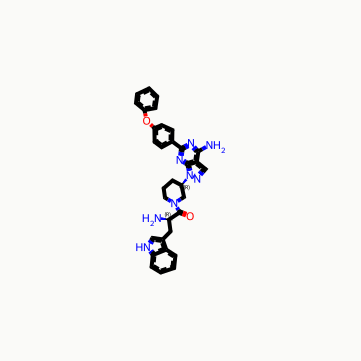 Nc1nc(-c2ccc(Oc3ccccc3)cc2)nc2c1cnn2[C@@H]1CCCN(C(=O)[C@H](N)Cc2c[nH]c3ccccc23)C1